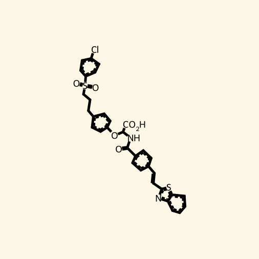 O=C(NC(Oc1ccc(CCCS(=O)(=O)c2ccc(Cl)cc2)cc1)C(=O)O)c1ccc(C=Cc2nc3ccccc3s2)cc1